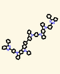 c1ccc(-c2nc(-c3ccc(-n4c5ccccc5c5cc6c(cc54)c4cc5ccc(-c7ccc8c(c7)c7ccccc7n8-c7ccc(-n8c9ccccc9c9cc%10c(cc98)c8ccccc8n%10-c8cccc(-c9nc(-c%10ccccc%10)c%10ccccc%10n9)c8)cc7)cc5cc4n6-c4ccccc4)cc3)nc3ccccc23)cc1